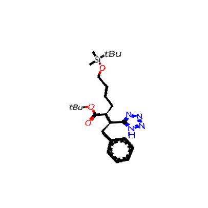 CC(C)(C)OC(=O)[C@@H](CCCCO[Si](C)(C)C(C)(C)C)[C@H](Cc1ccccc1)c1nnn[nH]1